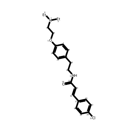 CCN(CC)CCOc1ccc(CCNC(=O)/C=C/c2ccc(Cl)cc2)cc1